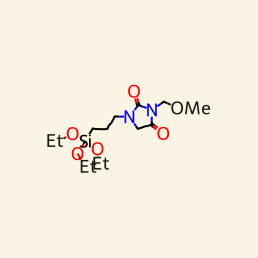 CCO[Si](CCCN1CC(=O)N(COC)C1=O)(OCC)OCC